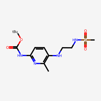 Cc1nc(NC(=O)OC(C)(C)C)ccc1NCCNS(C)(=O)=O